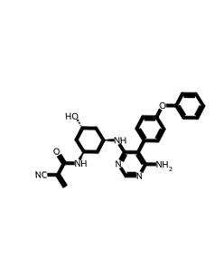 C=C(C#N)C(=O)N[C@H]1C[C@H](O)C[C@@H](Nc2ncnc(N)c2-c2ccc(Oc3ccccc3)cc2)C1